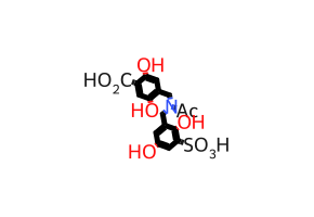 CC(=O)N(Cc1cc(O)c(C(=O)O)cc1O)Cc1cc(O)cc(S(=O)(=O)O)c1O